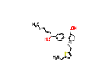 CCCCCC(O)c1ccc(C2=C(CO)CC[C@@H]2CCc2ccc(CC)s2)cc1